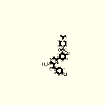 CC(C)N1CCN(S(=O)(=O)c2cc(-c3cnc(N)c(C(=O)c4ccc(Cl)cc4)n3)ccc2Cl)CC1